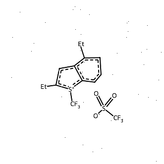 CCc1cccc2c1cc(CC)[s+]2C(F)(F)F.O=S(=O)([O-])C(F)(F)F